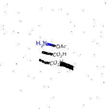 C=C.CC(=O)O.CC(=O)O.CC(=O)ON